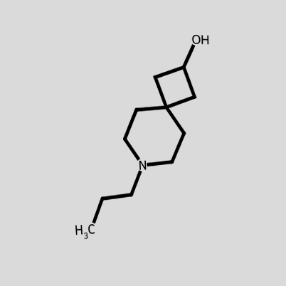 CCCN1CCC2(CC1)CC(O)C2